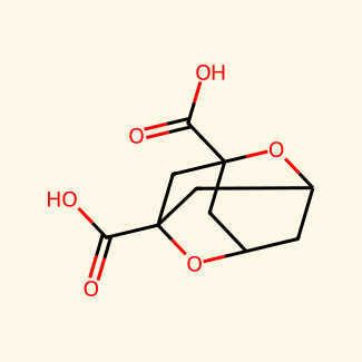 O=C(O)C12CC3CC(CC(C(=O)O)(C1)O3)O2